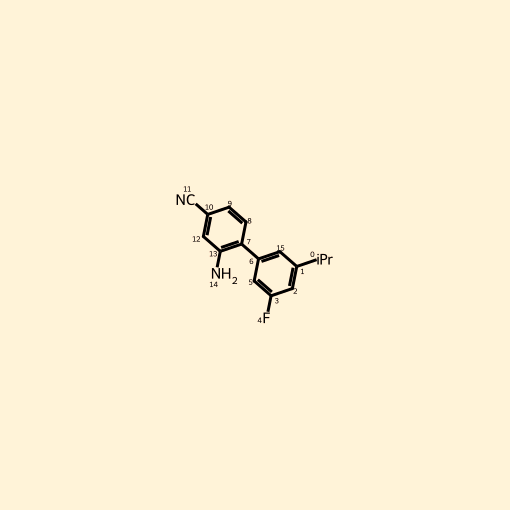 CC(C)c1cc(F)cc(-c2ccc(C#N)cc2N)c1